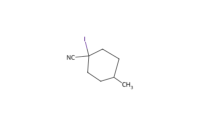 CC1CCC(I)(C#N)CC1